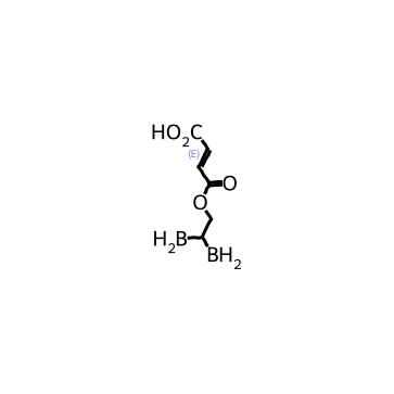 BC(B)COC(=O)/C=C/C(=O)O